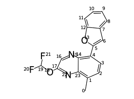 Cc1ccc(-c2cc3ccccc3o2)c2ncc(OC(F)F)nc12